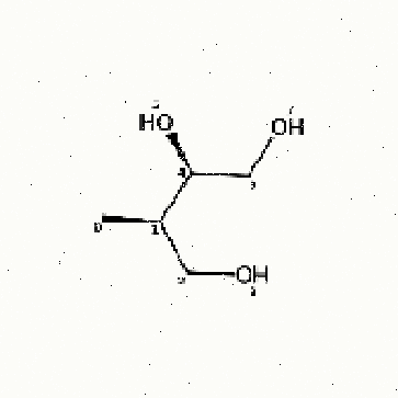 C[C@H](CO)[C@@H](O)CO